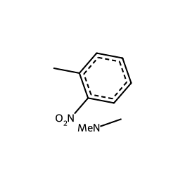 CNC.Cc1ccccc1[N+](=O)[O-]